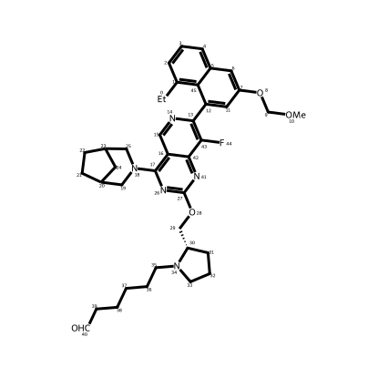 CCc1cccc2cc(OCOC)cc(-c3ncc4c(N5CC6CCC(C6)C5)nc(OC[C@@H]5CCCN5CCCCCC=O)nc4c3F)c12